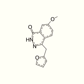 COc1ccc2c(Cc3ccco3)n[nH]c(=O)c2c1